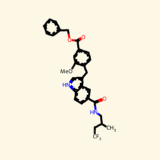 COc1cc(C(=O)OCc2ccccc2)ccc1Cc1c[nH]c2ccc(C(=O)NCC(C)CC(F)(F)F)cc12